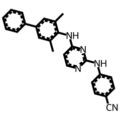 Cc1cc(-c2ccccc2)cc(C)c1Nc1ccnc(Nc2ccc(C#N)cc2)n1